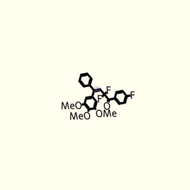 COc1cc(/C(=C\C(F)(F)C(=O)c2ccc(F)cc2)c2ccccc2)cc(OC)c1OC